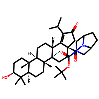 CC(C)C1=C2[C@H]3CC[C@@H]4[C@@]5(C)CC[C@H](O)C(C)(C)[C@@H]5CC[C@@]4(C)[C@]3(C)CC[C@@]2(C(=O)N2C3CCC2CN(C(=O)OC(C)(C)C)C3)CC1=O